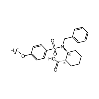 COc1ccc(S(=O)(=O)N(Cc2ccccc2)[C@H]2CCCC[C@@H]2C(=O)O)cc1